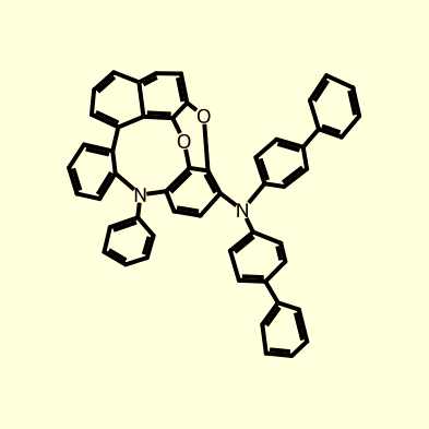 c1ccc(-c2ccc(N(c3ccc(-c4ccccc4)cc3)c3ccc4c5c3Oc3ccc6cccc(c6c3O5)-c3ccccc3N4c3ccccc3)cc2)cc1